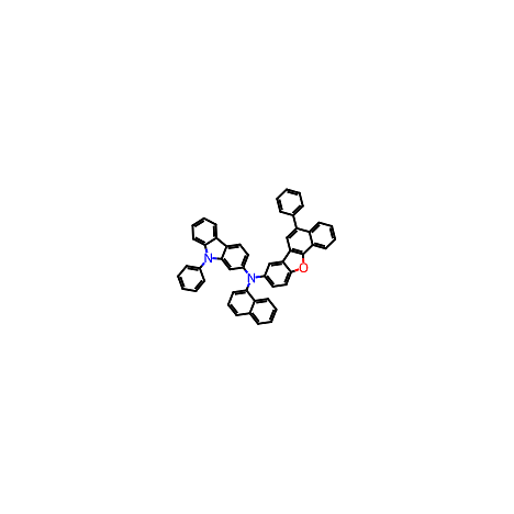 c1ccc(-c2cc3c4cc(N(c5ccc6c7ccccc7n(-c7ccccc7)c6c5)c5cccc6ccccc56)ccc4oc3c3ccccc23)cc1